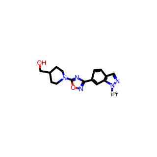 CC(C)n1ncc2ccc(-c3noc(N4CCC(CO)CC4)n3)cc21